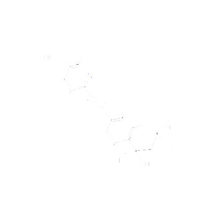 CCc1nc(C#Cc2ccc3c(c2)SC(C)(C)CC3(C)C)ccc1C(=O)O